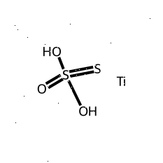 O=S(O)(O)=S.[Ti]